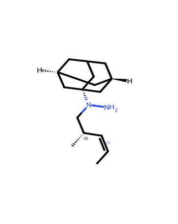 C/C=C\[C@H](C)CN(N)[C@]12CC3C[C@@H](C[C@H](C3)C1)C2